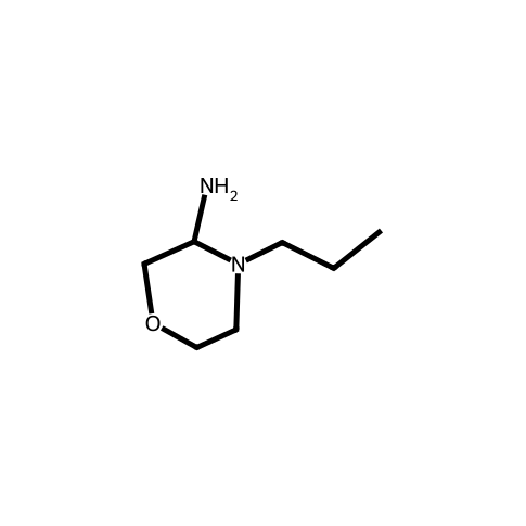 CCCN1CCOCC1N